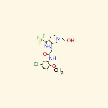 COc1ccc(Cl)cc1NC(=O)Cn1nc(C(F)(F)F)c2c1CN(CCO)CC2